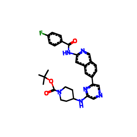 CC(C)(C)OC(=O)N1CCC(Nc2cncc(-c3ccc4cnc(NC(=O)c5ccc(F)cc5)cc4c3)n2)CC1